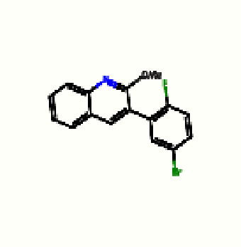 COc1nc2ccccc2cc1-c1cc(Br)ccc1F